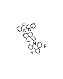 CC1(C)c2ccccc2-c2c(N(c3ccc(F)cc3)c3ccc4ccc5c(N(c6ccccc6)c6nc7ccccc7cc6F)ccc6ccc3c4c65)cccc21